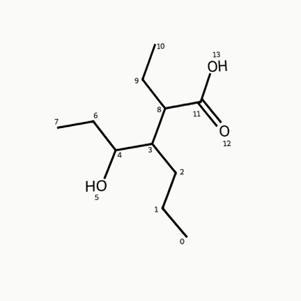 CCCC(C(O)CC)C(CC)C(=O)O